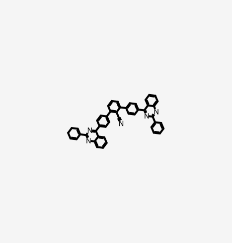 N#Cc1c(-c2ccc(-c3nc(C4=CCCC=C4)nc4ccccc34)cc2)cccc1-c1ccc(-c2nc(-c3ccccc3)nc3ccccc23)cc1